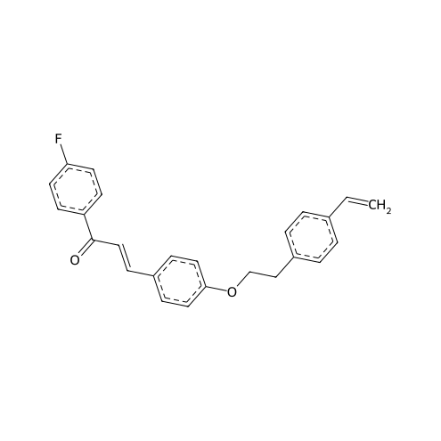 C=Cc1ccc(CCOc2ccc(C=CC(=O)c3ccc(F)cc3)cc2)cc1